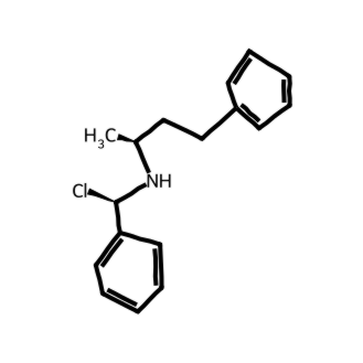 C[C@@H](CCc1ccccc1)N[C@H](Cl)c1ccccc1